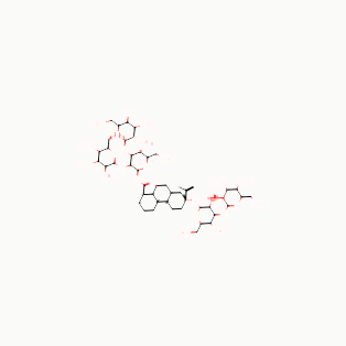 C=C1C[C@@]23CCC4[C@](C)(C(=O)OC5OC(CO)C(O)C(OC6OC(CO)C(O)C(O)C6O)C5OC5OC(CO)C(O)C(O)C5O)CCC[C@@]4(C)[C@@H]2CC[C@]1(OC1OC(CO)C(O)C(OC2OC(CO)C(O)C(O)C2O)C1O)C3